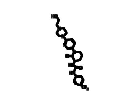 O=C(Nc1ccc(C(F)(F)F)cc1)NC1CCCN(c2ccc(N3CCN(CCO)CC3)nc2)C1=O